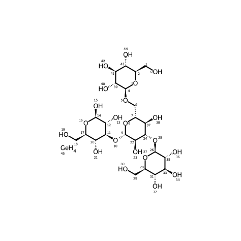 OC[C@H]1O[C@@H](OC[C@H]2O[C@@H](O[C@@H]3[C@@H](O)[C@H](O)O[C@H](CO)[C@H]3O)[C@H](O)[C@@H](O[C@@H]3O[C@H](CO)[C@@H](O)[C@H](O)[C@H]3O)[C@@H]2O)[C@H](O)[C@@H](O)[C@@H]1O.[GeH4]